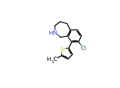 Cc1ccc(-c2c(Cl)ccc3c2CNCCC3)s1